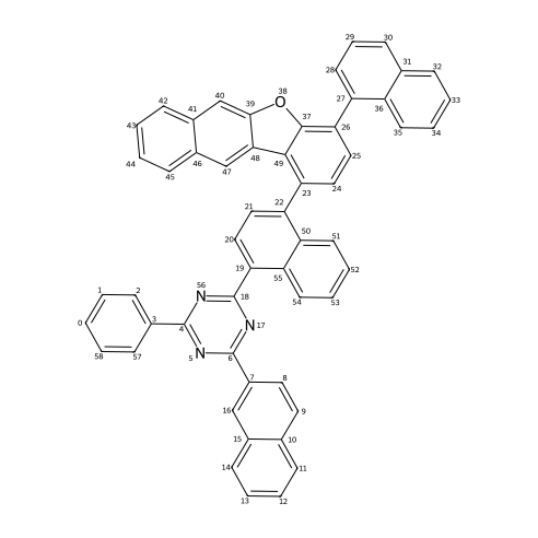 c1ccc(-c2nc(-c3ccc4ccccc4c3)nc(-c3ccc(-c4ccc(-c5cccc6ccccc56)c5oc6cc7ccccc7cc6c45)c4ccccc34)n2)cc1